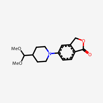 COC(OC)C1CCN(c2ccc3c(c2)COC3=O)CC1